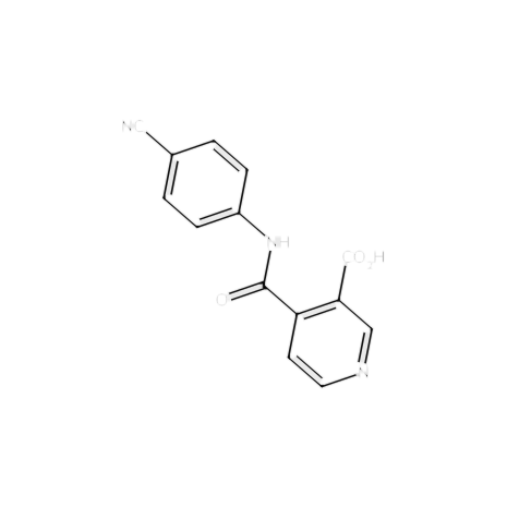 N#Cc1ccc(NC(=O)c2ccncc2C(=O)O)cc1